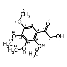 COc1cc(C(=O)CO)c(OC)c(OC)c1OC